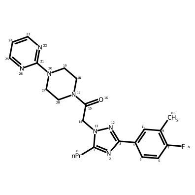 CCCc1nc(-c2ccc(F)c(C)c2)nn1CC(=O)N1CCN(c2ncccn2)CC1